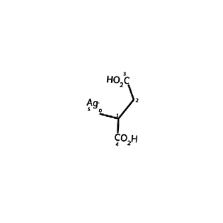 CC(CC(=O)O)C(=O)O.[Ag]